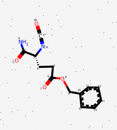 NC(=O)[C@@H](CCC(=O)OCc1ccccc1)N=C=O